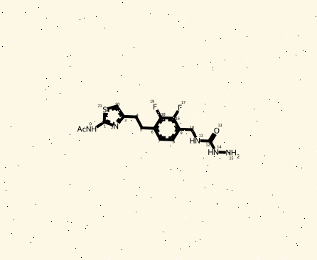 CC(=O)Nc1nc(CCc2ccc(CNC(=O)NN)c(F)c2F)cs1